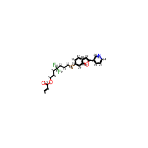 C=CC(=O)OCCCC(F)(F)CCCSc1ccc2cc(-c3cccnc3)oc2c1